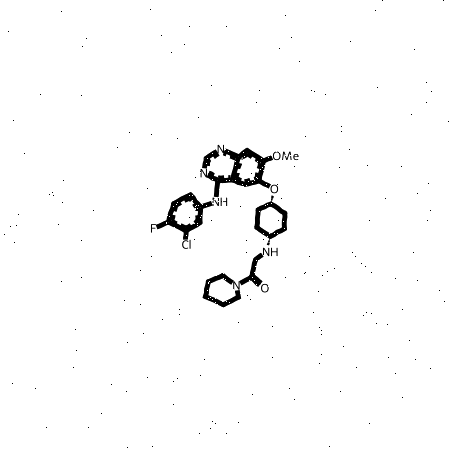 COc1cc2ncnc(Nc3ccc(F)c(Cl)c3)c2cc1O[C@H]1CC[C@@H](NCC(=O)N2CCCCC2)CC1